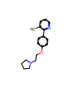 N#Cc1cccnc1-c1ccc(OCCN2CCCC2)cc1